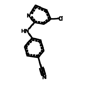 N#Cc1ccc(Nc2cc(Cl)ccn2)cc1